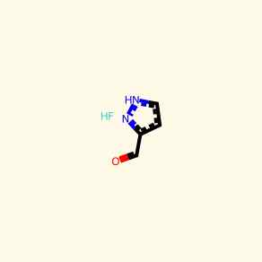 F.O=Cc1cc[nH]n1